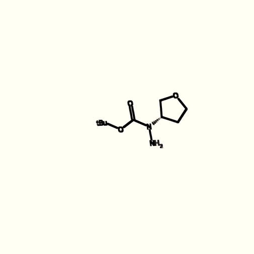 CC(C)(C)OC(=O)N(N)[C@H]1CCOC1